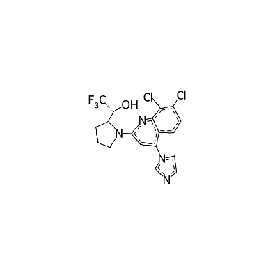 O[C@H](C1CCCN1c1cc(-n2ccnc2)c2ccc(Cl)c(Cl)c2n1)C(F)(F)F